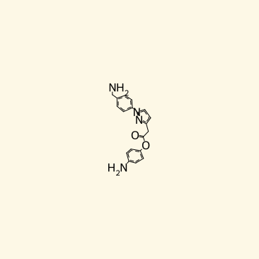 NCc1ccc(-n2ccc(CC(=O)Oc3ccc(N)cc3)n2)cc1